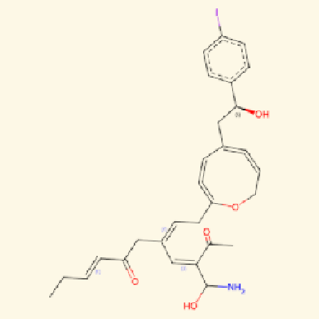 CC/C=C/C(=O)CC(=C/CC1=C=CC(C[C@H](O)c2ccc(I)cc2)=C=CCO1)/C=C(\C(C)=O)C(N)O